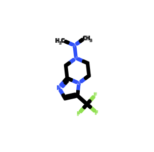 CN(C)N1CCn2c(C(F)(F)F)cnc2C1